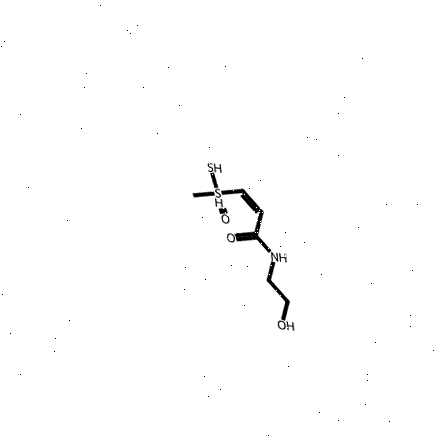 C[SH](=O)(S)/C=C\C(=O)NCCO